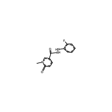 Cn1cc(C(=O)NNc2ccccc2F)ccc1=O